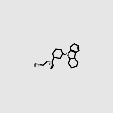 C=C[C@@H](CCC(C)C)C1CCCC(N2C3=C(C=CCC3)C3CCCCC32)C1